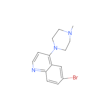 CN1CCN(c2ccnc3ccc(Br)cc23)CC1